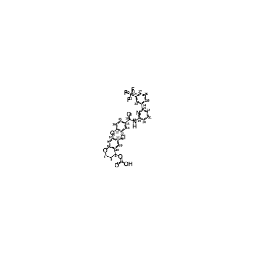 O=C(O)OC1CCOc2cc(Oc3ccc(C(=O)Nc4cccc(-c5cccc(C(F)(F)F)c5)n4)cc3)c(Cl)cc21